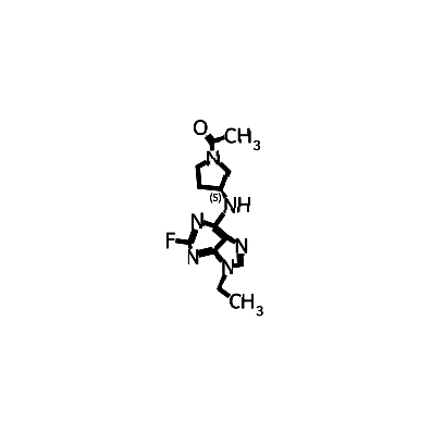 CCn1cnc2c(N[C@H]3CCN(C(C)=O)C3)nc(F)nc21